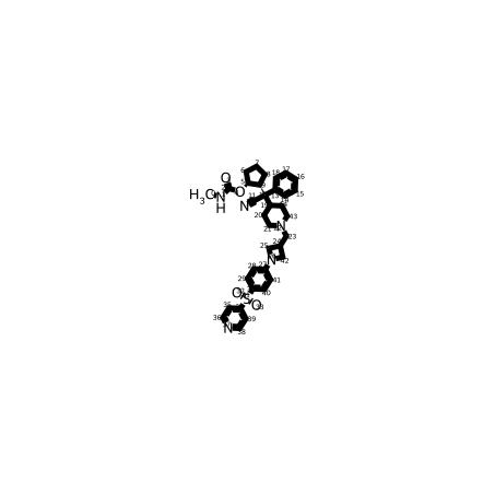 CNC(=O)O[C@H]1CCC[C@@H]1C(C#N)(c1ccccc1)C1CCN(CC2CN(c3ccc(S(=O)(=O)c4ccncc4)cc3)C2)CC1